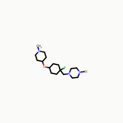 CCN1CCN(CC2(F)CCC(OC3CCN(C)CC3)CC2)CC1